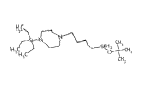 CC[Si](CC)(CC)N1CCN(CCCC[SiH2]OC(C)(C)C)CC1